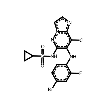 O=S(=O)(Nc1nn2ccnc2c(Cl)c1Nc1ccc(Br)cc1F)C1CC1